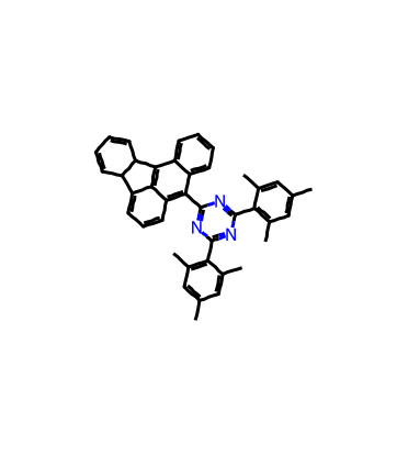 Cc1cc(C)c(-c2nc(-c3c(C)cc(C)cc3C)nc(-c3c4ccccc4c4c5c(cccc35)C3C=CC=CC43)n2)c(C)c1